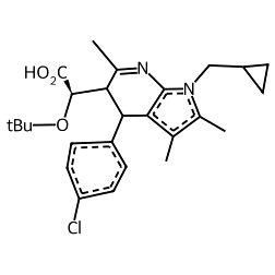 CC1=Nc2c(c(C)c(C)n2CC2CC2)C(c2ccc(Cl)cc2)C1[C@@H](OC(C)(C)C)C(=O)O